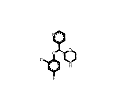 Fc1ccc(OC(c2cccnc2)[C@@H]2CNCCO2)c(Cl)c1